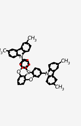 Cc1ccc2c(c1)c1cc(C)ccc1n2-c1ccc2c(c1)Oc1cccc3c1[Si]2(c1ccccc1)c1ccc(-n2c4ccc(C)cc4c4cc(C)ccc42)cc1O3